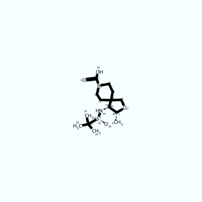 C[C@H]1OCC2(CCN(C(=O)O)CC2)[C@H]1N[S@+]([O-])C(C)(C)C